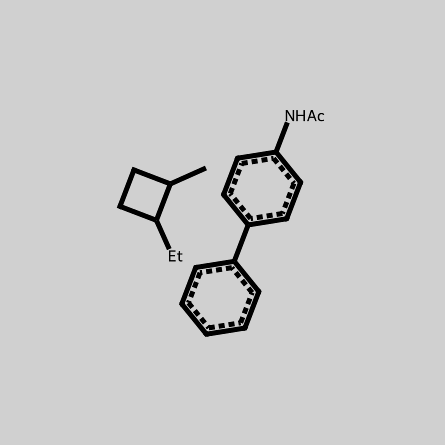 CC(=O)Nc1ccc(-c2ccccc2)cc1.CCC1CCC1C